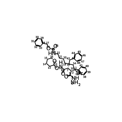 CC(C)C[C@@H](C(=O)NN)[C@H](C(=O)NOC1CCCCO1)C(CCCCNC(=O)OCc1ccccc1)(CCc1ccccc1)Cc1ccccc1